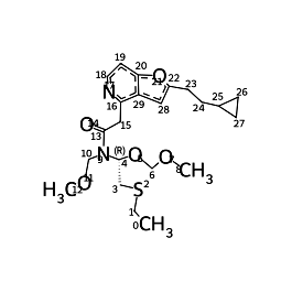 CCSC[C@@H](OCOC)N(COC)C(=O)Cc1nccc2oc(CCC3CC3)cc12